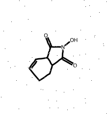 O=C1C2C=CCCC2C(=O)N1O